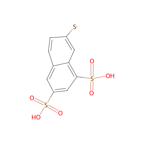 O=S(=O)(O)c1cc(S(=O)(=O)O)c2cc([S])ccc2c1